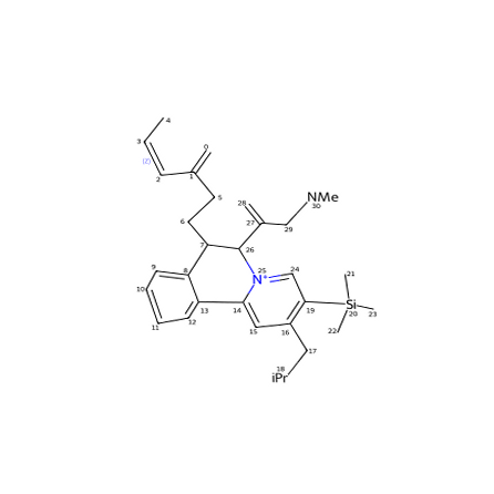 C=C(/C=C\C)CCC1c2ccccc2-c2cc(CC(C)C)c([Si](C)(C)C)c[n+]2C1C(=C)CNC